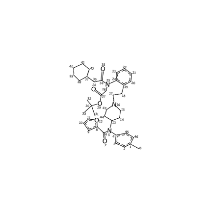 Cc1ccc(N(C(=O)c2ccco2)C2CCN(CCc3ccccc3N(CC(=O)OC(C)(C)C)C(=O)CC3CCCCC3)CC2)cc1